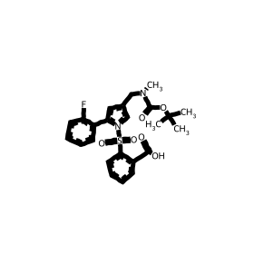 CN(Cc1cc(-c2ccccc2F)n(S(=O)(=O)c2ccccc2C(=O)O)c1)C(=O)OC(C)(C)C